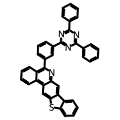 c1ccc(-c2nc(-c3ccccc3)nc(-c3cccc(-c4nc5cc6c(cc5c5ccccc45)sc4ccccc46)c3)n2)cc1